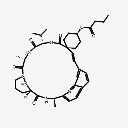 CCCC(=O)O[C@H]1CC[C@]2(/C=C/c3ccc4ccc(nc4c3)[C@@H](C)NC(=O)[C@@H]3CCCN(N3)C(=O)[C@H](C)NC(=O)[C@H](C(C)C)OC2=O)CC1